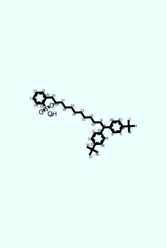 CC(C)(C)c1ccc(C(CCCCCCCCCCCc2ccccc2S(=O)(=O)O)c2ccc(C(C)(C)C)cc2)cc1